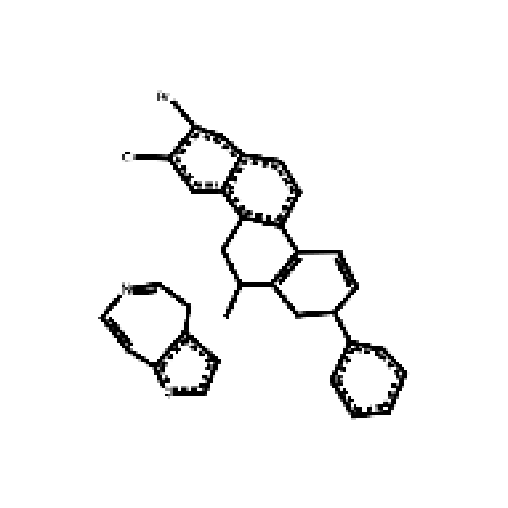 C1=Cc2sccc2CC=N1.CC1Cc2c(ccc3cc(Br)c(Cl)cc23)C2=C1CC(c1ccccc1)C=C2